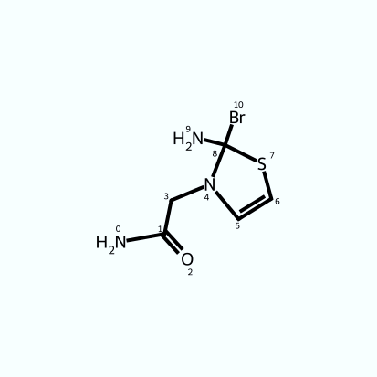 NC(=O)CN1C=CSC1(N)Br